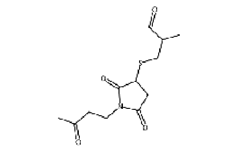 CC(=O)CCN1C(=O)CC(SCC(C)C=O)C1=O